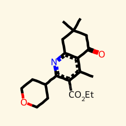 CCOC(=O)c1c(C2CCOCC2)nc2c(c1C)C(=O)CC(C)(C)C2